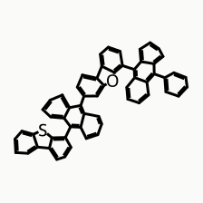 c1ccc(-c2c3ccccc3c(-c3cccc4c3oc3cc(-c5c6ccccc6c(-c6cccc7c6sc6ccccc67)c6ccccc56)ccc34)c3ccccc23)cc1